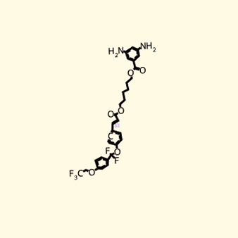 Nc1cc(N)cc(C(=O)OCCCCCCOC(=O)/C=C/c2ccc(OC(F)(F)c3ccc(OCC(F)(F)F)cc3)cc2)c1